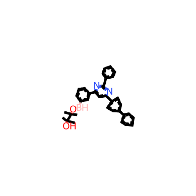 CC(C)(O)C(C)(C)OBc1cccc(-c2cc(-c3ccc(-c4ccccc4)cc3)nc(-c3ccccc3)n2)c1